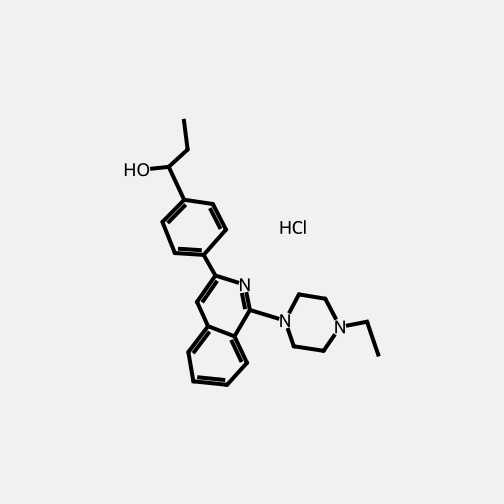 CCC(O)c1ccc(-c2cc3ccccc3c(N3CCN(CC)CC3)n2)cc1.Cl